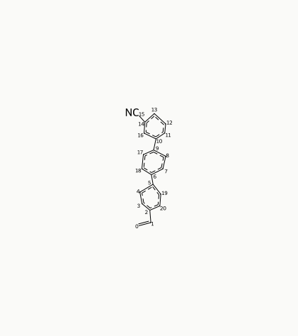 C=Cc1ccc(-c2ccc(-c3cccc(C#N)c3)cc2)cc1